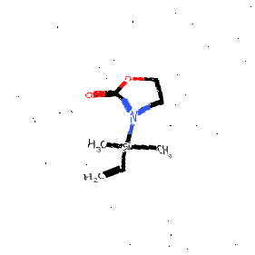 C=C[Si](C)(C)N1CCOC1=O